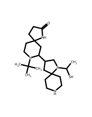 CC(S)N1CC(C2CC3(CCC(=O)N3)CCN2C(C)(C)C)CC12CCNCC2